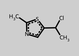 Cc1ncc(C(C)Cl)s1